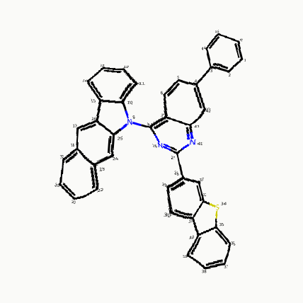 c1ccc(-c2ccc3c(-n4c5ccccc5c5cc6ccccc6cc54)nc(-c4ccc5c(c4)sc4ccccc45)nc3c2)cc1